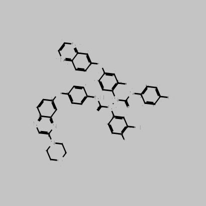 O=C(Nc1ccc(Oc2ccc3ncc(N4CCOCC4)nc3c2)cc1)N(c1ccc(F)c(C(F)(F)F)c1)N(C(=O)Nc1ccc(F)cc1)c1ccc(Oc2ccc3nccnc3c2)cc1F